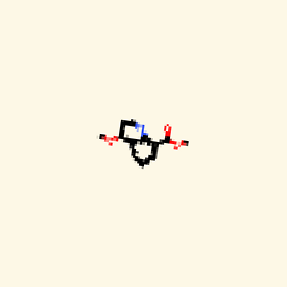 COC(=O)c1cccc2c(OC)ccnc12